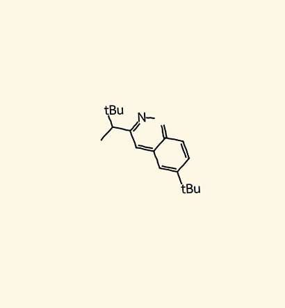 C=c1ccc(C(C)(C)C)c/c1=C/C(=N\C)C(C)C(C)(C)C